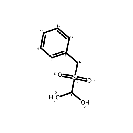 CC(O)S(=O)(=O)Cc1ccccc1